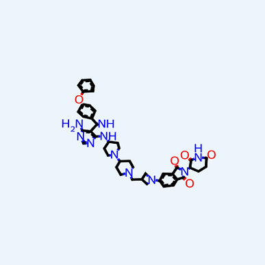 N=C(c1ccc(Oc2ccccc2)cc1)c1c(N)ncnc1NC1CCN(C2CCN(CC3CN(c4ccc5c(c4)C(=O)N(C4CCC(=O)NC4=O)C5=O)C3)CC2)CC1